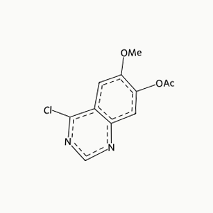 COc1cc2c(Cl)ncnc2cc1OC(C)=O